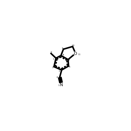 Cc1cc(C#N)cc2c1CCO2